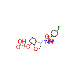 CC(C)(Oc1cccc2c1OCCC2CNS(=O)(=O)c1ccc(F)cc1)C(=O)O